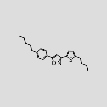 CCCCCc1ccc(-c2cc(-c3ccc(CCCC)s3)no2)cc1